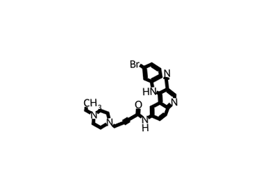 CCN1CCN(CC#CC(=O)Nc2ccc3ncc(C#N)c(Nc4cccc(Br)c4)c3c2)CC1